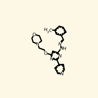 Cc1cccc(C=NNc2cc(OCCN3CCOCC3)nc(-c3ccncc3)n2)c1